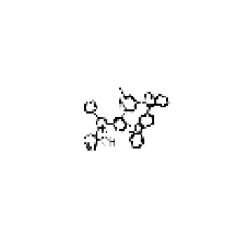 Cc1cc(-c2oc3ccccc3c2-c2ccc3c(c2)oc2ccccc23)cc(-c2cccc(-c3cc(-c4ccccc4)cc(-c4ccccc4O)n3)c2)n1